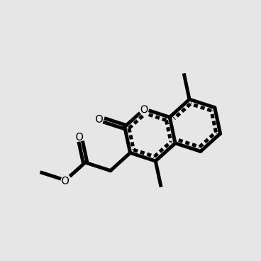 COC(=O)Cc1c(C)c2cccc(C)c2oc1=O